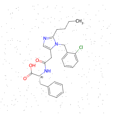 CCCCc1ncc(CC(=O)N[C@H](Cc2ccccc2)C(=O)O)n1Cc1ccccc1Cl